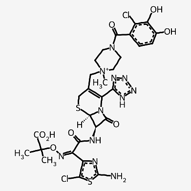 CC(C)(O/N=C(\C(=O)N[C@@H]1C(=O)N2C(c3nnn[nH]3)=C(C[N+]3(C)CCN(C(=O)c4ccc(O)c(O)c4Cl)CC3)CS[C@H]12)c1nc(N)sc1Cl)C(=O)O